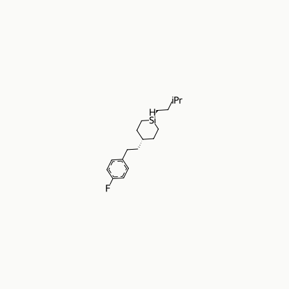 CC(C)CC[Si@H]1CC[C@H](CCc2ccc(F)cc2)CC1